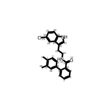 Cc1ccc(-c2ccccc2C(=O)NCCc2c[nH]c3ccc(Cl)cc23)cc1C